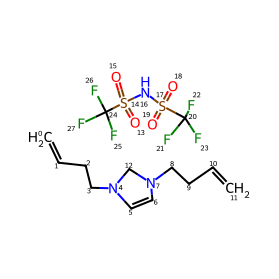 C=CCCN1C=CN(CCC=C)C1.O=S(=O)(NS(=O)(=O)C(F)(F)F)C(F)(F)F